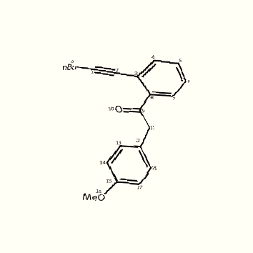 CCCCC#Cc1ccccc1C(=O)Cc1ccc(OC)cc1